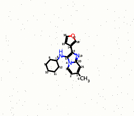 Cc1ccn2c(NC3CCCCC3)c(-c3ccoc3)nc2c1